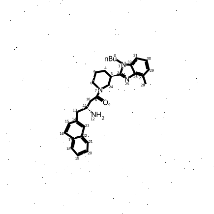 CCCCn1c([C@@H]2CCCN(C(=O)C[C@H](N)Cc3ccc4ccccc4c3)C2)nc2c(C)cccc21